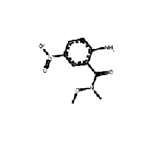 CON(C)C(=O)c1cc([N+](=O)[O-])ccc1N